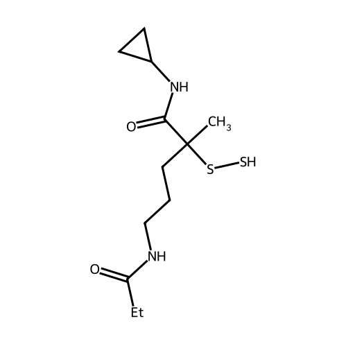 CCC(=O)NCCCC(C)(SS)C(=O)NC1CC1